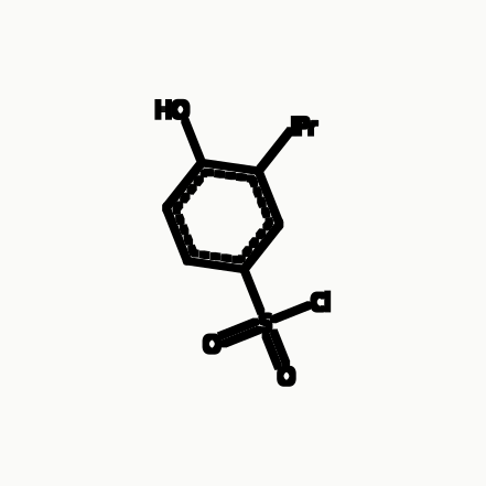 CC(C)c1cc(S(=O)(=O)Cl)ccc1O